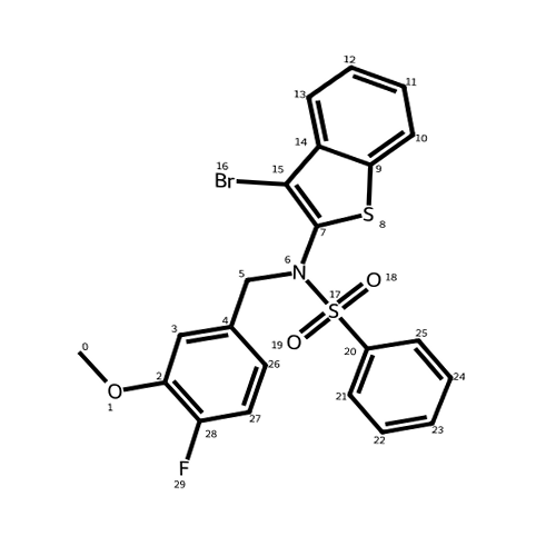 COc1cc(CN(c2sc3ccccc3c2Br)S(=O)(=O)c2ccccc2)ccc1F